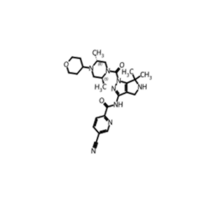 C[C@@H]1CN(C(=O)n2nc(NC(=O)c3ccc(C#N)cn3)c3c2C(C)(C)NC3)[C@@H](C)CN1C1CCOCC1